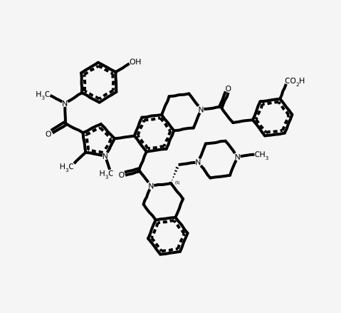 Cc1c(C(=O)N(C)c2ccc(O)cc2)cc(-c2cc3c(cc2C(=O)N2Cc4ccccc4C[C@H]2CN2CCN(C)CC2)CN(C(=O)Cc2cccc(C(=O)O)c2)CC3)n1C